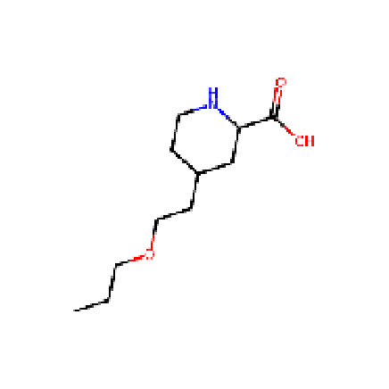 CCCOCCC1CCNC(C(=O)O)C1